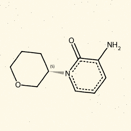 Nc1cccn([C@H]2CCCOC2)c1=O